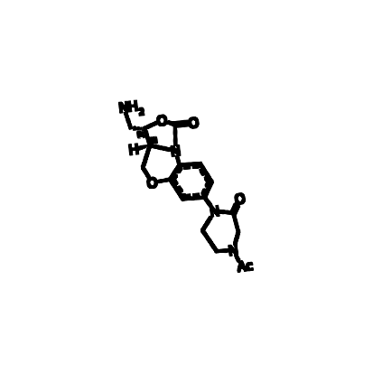 CC(=O)N1CCN(c2ccc3c(c2)OC[C@H]2[C@H](CN)OC(=O)N32)C(=O)C1